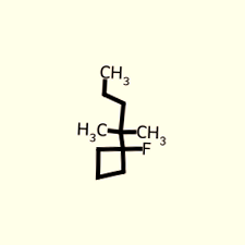 CCCC(C)(C)C1(F)CCC1